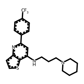 FC(F)(F)c1ccc(-c2cc(NCCCN3CCCCC3)c3sccc3n2)cc1